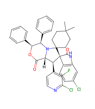 CC1(C)CCC2(CC1)N1[C@H](c3ccccc3)[C@H](c3ccccc3)OC(=O)[C@H]1[C@H](c1ccnc(Cl)c1F)[C@@]21C(=O)Nc2cc(Cl)ccc21